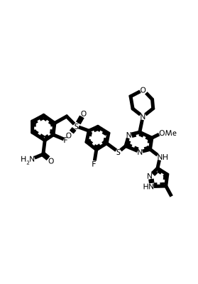 COc1c(Nc2cc(C)[nH]n2)nc(Sc2ccc(S(=O)(=O)Cc3cccc(C(N)=O)c3F)cc2F)nc1N1CCOCC1